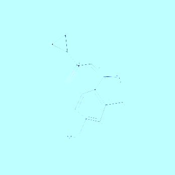 CSc1ccc(/C(N)=C\C(=O)C2CC2)c(C)c1